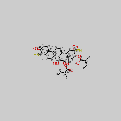 C/C=C(/C)C(=O)O[C@H]1C[C@@]2(COC(=O)C(C)CC)C(C[C@]1(O)S)C1=CCC3[C@@](C)(CCC4[C@]3(C)CC[C@H](O)[C@@]4(C)S)C1[C@@H](O)[C@H]2O